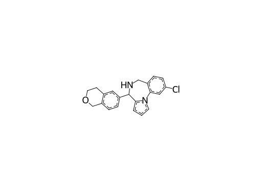 Clc1ccc2c(c1)-n1cccc1C(c1ccc3c(c1)CCOC3)NC2